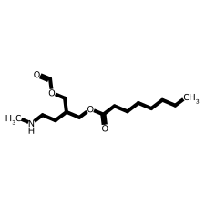 CCCCCCCC(=O)OCC(CCNC)COC=O